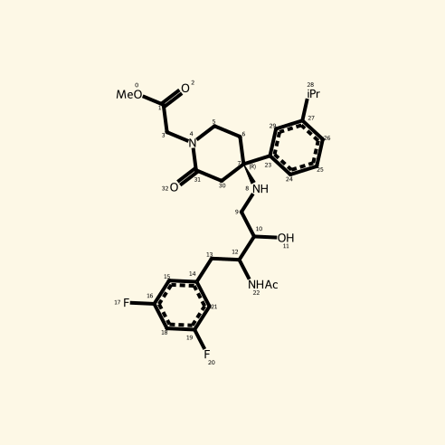 COC(=O)CN1CC[C@](NCC(O)C(Cc2cc(F)cc(F)c2)NC(C)=O)(c2cccc(C(C)C)c2)CC1=O